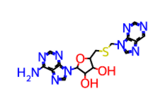 Nc1ncnc2c1ncn2C1OC(CSCn2cnc3cncnc32)C(O)C1O